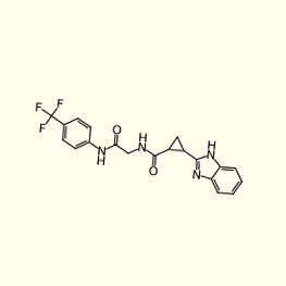 O=C(CNC(=O)C1CC1c1nc2ccccc2[nH]1)Nc1ccc(C(F)(F)F)cc1